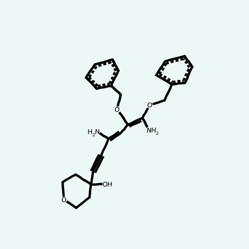 N/C(C#CC1(O)CCOCC1)=C\C(OCc1ccccc1)=C(/N)OCc1ccccc1